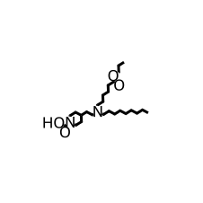 CCCCCCCCCN(CCCCCC(=O)OCCC)CCC1CCN(C(=O)O)CC1